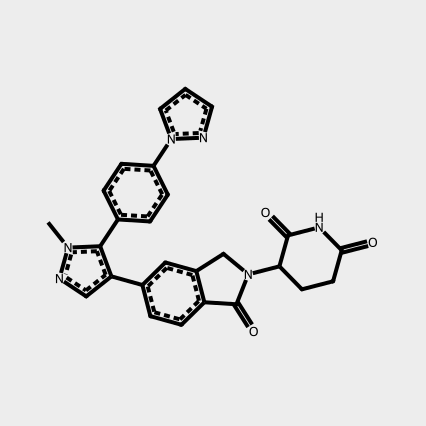 Cn1ncc(-c2ccc3c(c2)CN(C2CCC(=O)NC2=O)C3=O)c1-c1ccc(-n2cccn2)cc1